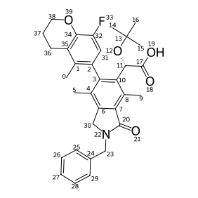 Cc1c(-c2c(C)c3c(c(C)c2[C@H](OC(C)(C)C)C(=O)O)C(=O)N(Cc2ccccc2)C3)cc(F)c2c1CCCO2